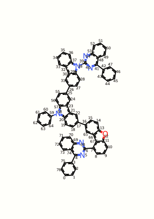 c1ccc(-c2nc(-c3cccc4oc5ccc(-c6ccc7c(c6)c6cc(-c8ccc9c(c8)c8ccccc8n9-c8nc(-c9ccccc9)c9ccccc9n8)ccc6n7-c6ccccc6)cc5c34)nc3ccccc23)cc1